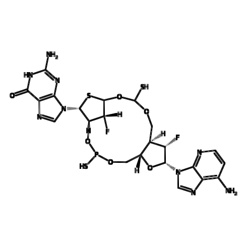 Nc1nc2c(ncn2[C@@H]2SC3OC(S)OC[C@H]4[C@H](F)[C@H](n5cnc6c(N)ccnc65)O[C@@H]4COP(S)O[C@@H]2[C@H]3F)c(=O)[nH]1